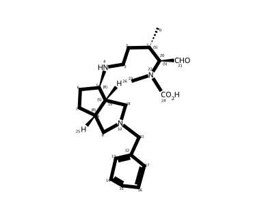 C[C@@H](CCN[C@@H]1CC[C@H]2CN(Cc3ccccc3)C[C@H]21)[C@@H](C=O)N(C)C(=O)O